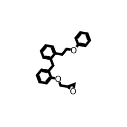 [CH](Cc1ccccc1Cc1ccccc1OCC1CO1)Oc1ccccc1